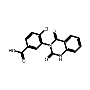 O=C(O)c1ccc(Cl)c(-n2c(=O)[nH]c3ccccc3c2=O)c1